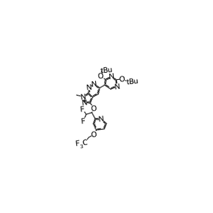 Cn1nc(O[C@H](c2cc(OCC(F)(F)F)ccn2)C(F)F)c2cc(-c3cnc(OC(C)(C)C)nc3OC(C)(C)C)nnc21